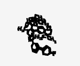 Cc1cc2nc(-c3cccc(-c4ccc(F)cc4)c3)cn2c(-c2ccc3c(c2)C(C)(C)CCO3)c1C(OC(C)(C)C)C(=O)O